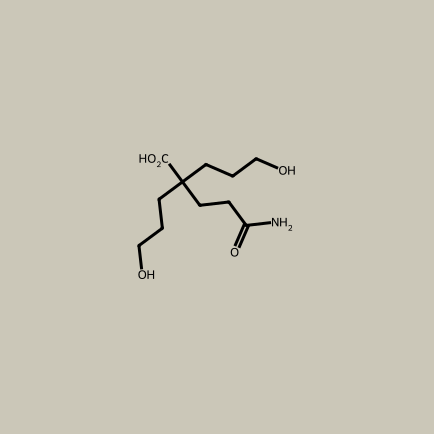 NC(=O)CCC(CCCO)(CCCO)C(=O)O